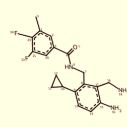 Cc1cc(C(=O)NCc2c(C3CC3)ccc(N)c2CN)cc(F)c1F